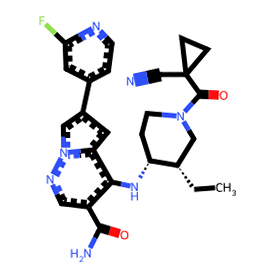 CC[C@H]1CN(C(=O)C2(C#N)CC2)CC[C@H]1Nc1c(C(N)=O)cnn2cc(-c3ccnc(F)c3)cc12